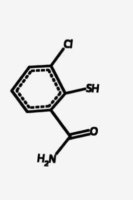 NC(=O)c1cccc(Cl)c1S